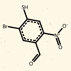 O=Cc1cc(Br)c(S)cc1[N+](=O)[O-]